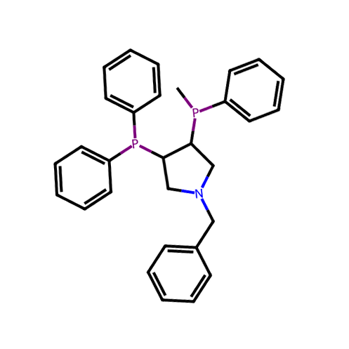 CP(c1ccccc1)C1CN(Cc2ccccc2)CC1P(c1ccccc1)c1ccccc1